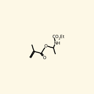 C=C(C)C(=O)OC(C)NC(=O)OCC